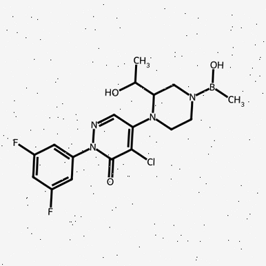 CB(O)N1CCN(c2cnn(-c3cc(F)cc(F)c3)c(=O)c2Cl)C(C(C)O)C1